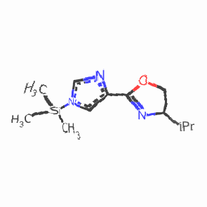 CC(C)C1COC(c2cn([Si](C)(C)C)cn2)=N1